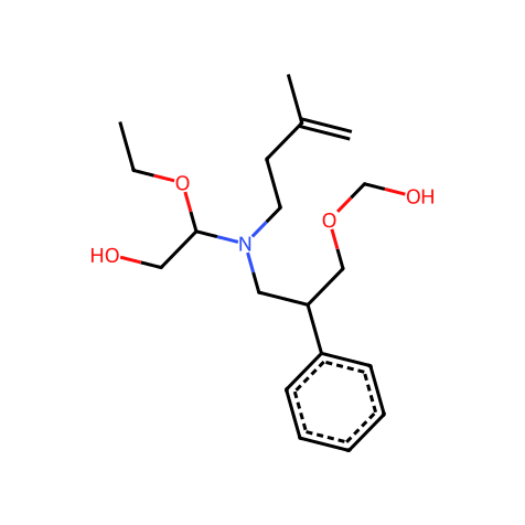 C=C(C)CCN(CC(COCO)c1ccccc1)C(CO)OCC